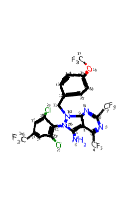 NC1=C2C(C(F)(F)F)=NC(C(F)(F)F)=NC2N(Cc2ccc(OC(F)(F)F)cc2)N1c1c(Cl)cc(C(F)(F)F)cc1Cl